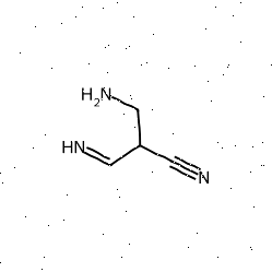 N#CC(C=N)CN